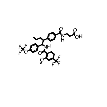 CCCC(c1ccc(C(=O)NCCC(=O)O)cc1)C(NC(=O)C1=C(OC)C=C(C(F)(F)F)CC1)c1ccc(OC(F)(F)F)cc1